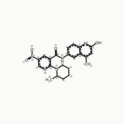 Cc1cc(O)nc2ccc(NC(=O)c3cc([N+](=O)[O-])cnc3N3CCCCC3C)cc12